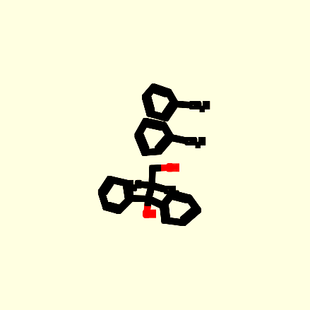 CC(C)(CO)C(O)(c1ccccc1)c1ccccc1.O=C(O)c1ccccc1.O=C(O)c1ccccc1